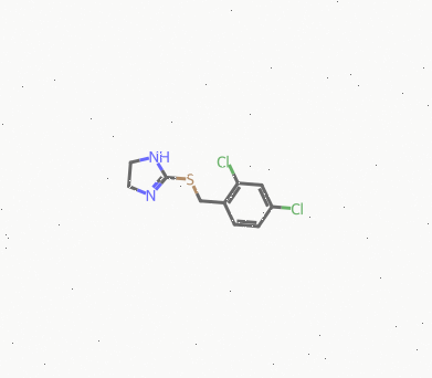 Clc1ccc(CSC2=NCCN2)c(Cl)c1